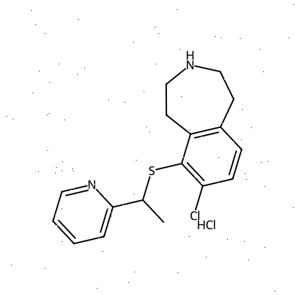 CC(Sc1c(Cl)ccc2c1CCNCC2)c1ccccn1.Cl